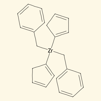 C1=CC[C]([Zr]([CH2]c2ccccc2)([CH2]c2ccccc2)[C]2=CC=CC2)=C1